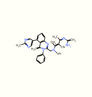 C=C(N)/N=C(C)\C(C#N)=C(/C)N(CCC)CC1=Nc2cccc(-c3cnc(C)nc3)c2C(=C)N1c1ccccc1